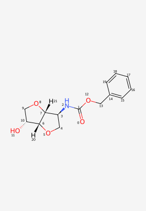 O=C(N[C@H]1CO[C@H]2[C@@H]1OC[C@H]2O)OCc1ccccc1